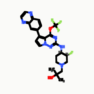 CC(C)(O)CN1CC[C@H](Nc2nc(OC(F)(F)F)c3c(-c4ccc5nccnc5c4)ccn3n2)[C@H](F)C1